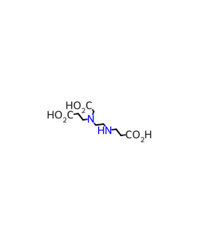 O=C(O)CCNCCN(CCC(=O)O)CC(=O)O